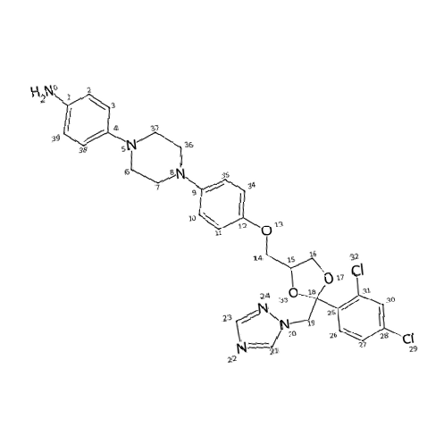 Nc1ccc(N2CCN(c3ccc(OCC4COC(Cn5cncn5)(c5ccc(Cl)cc5Cl)O4)cc3)CC2)cc1